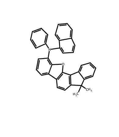 CC1(C)c2ccccc2-c2c1ccc1c2oc2c(N(c3ccccc3)c3cccc4ccccc34)cccc21